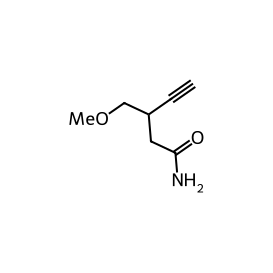 C#CC(COC)CC(N)=O